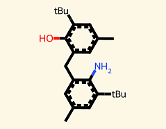 Cc1cc(Cc2cc(C)cc(C(C)(C)C)c2O)c(N)c(C(C)(C)C)c1